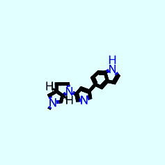 CN1C[C@@H]2CCN(c3cncc(-c4ccc5[nH]ccc5c4)c3)[C@@H]2C1